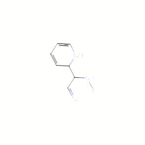 N=CC(NI)C1C=CC=CN1